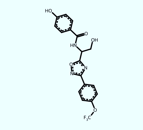 O=C(NC(CO)c1nc(-c2ccc(OC(F)(F)F)cc2)no1)c1ccc(O)cc1